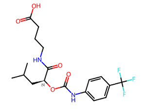 CC(C)C[C@H](OC(=O)Nc1ccc(C(F)(F)F)cc1)C(=O)NCCCC(=O)O